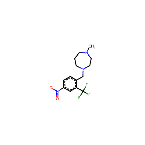 CN1CCCN(Cc2ccc([N+](=O)[O-])cc2C(F)(F)F)CC1